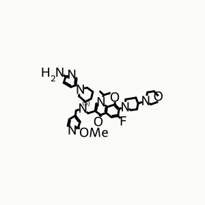 COc1cc(CN(Cc2cn3c4c(c(N5CCC(N6CCOCC6)CC5)c(F)cc4c2=O)OCC3C)[C@H]2CCCN(c3ccc(N)nc3)C2)ccn1